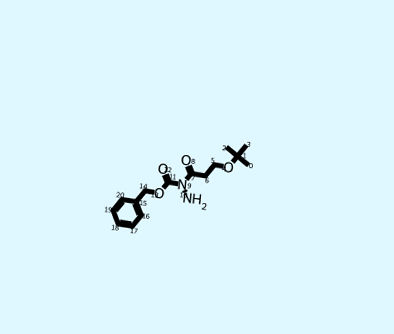 CC(C)(C)OCCC(=O)N(N)C(=O)OCc1ccccc1